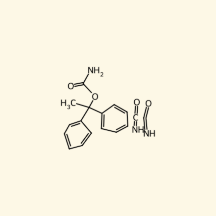 CC(OC(N)=O)(c1ccccc1)c1ccccc1.N=C=O.N=C=O